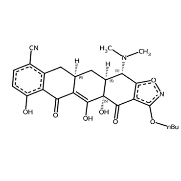 CCCCOc1noc2c1C(=O)[C@@]1(O)C(O)=C3C(=O)c4c(O)ccc(C#N)c4C[C@H]3C[C@H]1[C@@H]2N(C)C